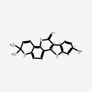 CC1(C)C=Cc2c(ccc3c2oc(=O)c2c4ccc(O)cc4oc32)O1